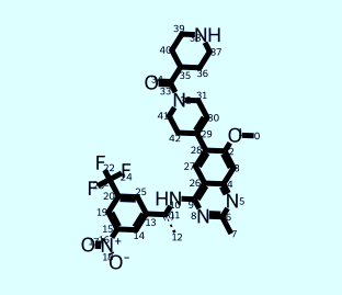 COc1cc2nc(C)nc(N[C@H](C)c3cc([N+](=O)[O-])cc(C(F)(F)F)c3)c2cc1C1=CCN(C(=O)C2CCNCC2)CC1